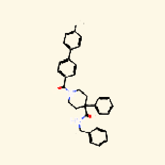 C[C@H](NC(=O)C1(c2ccccc2)CCN(C(=O)c2ccc(-c3ccc(C#N)cc3)cc2)CC1)c1ccccc1